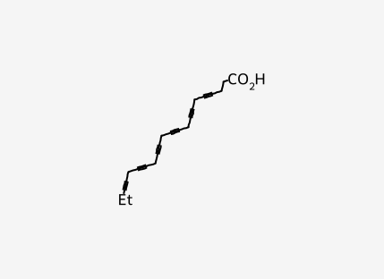 CCC#CCC#CCC#CCC#CCC#CCC#CCCC(=O)O